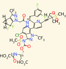 CC(C)(C#Cc1ccc(-c2ccc(Cl)c3c(N(C(=O)OC[C@H](CC(=O)O)NC(=O)C(=O)O)S(C)(=O)=O)nn(CC(F)(F)F)c23)c([C@H](Cc2cc(F)cc(F)c2)NC(=O)Cn2nc(C(F)(F)F)c3c2C(F)(F)[C@@H]2C[C@H]32)n1)S(C)(=O)=O